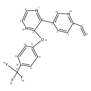 C=Cc1ccc(-c2nccnc2Oc2ccc(C(F)(F)F)cc2)cn1